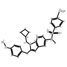 CCOc1ccc(Cc2cc3cc(N(C)S(=O)(=O)c4ccc(C(=O)O)cc4)cnc3n2CC2CCC2)cc1